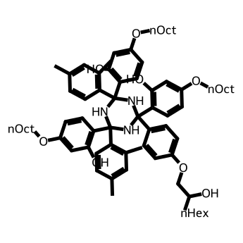 CCCCCCCCOc1ccc(C2(c3ccc(OCC(O)CCCCCC)cc3)NC(c3ccc(C)cc3C)(c3ccc(OCCCCCCCC)cc3O)NC(c3ccc(C)cc3C)(c3ccc(OCCCCCCCC)cc3O)N2)c(O)c1